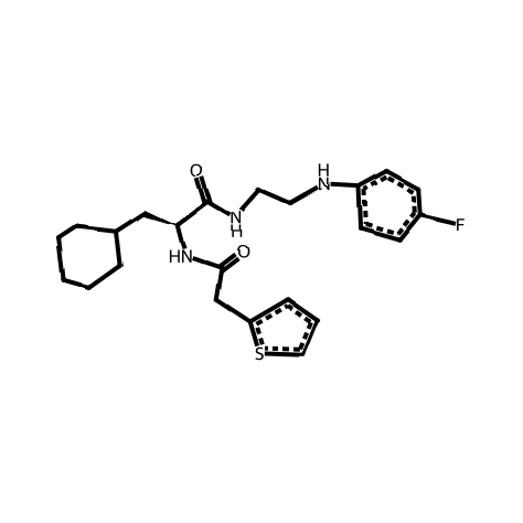 O=C(Cc1cccs1)N[C@@H](CC1CCCCC1)C(=O)NCCNc1ccc(F)cc1